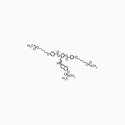 C=CC(=O)OCCCCCCOc1ccc(C(=O)Oc2ccc(OC(=O)c3ccc(OCCCCCCOC(=O)C=C)cc3)c(/C=N/Nc3ccc4cc(OC(=O)C(=C)C)ccc4c3)c2)cc1